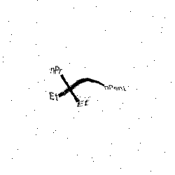 CC[CH]C(CC)(CC)CCCCCC